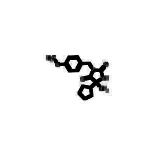 COc1ccc(CN2C(=O)NC(C)(C3CCCC3)C2=O)cc1